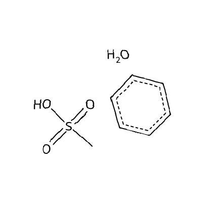 CS(=O)(=O)O.O.c1ccccc1